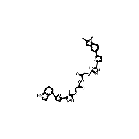 Cc1cc2cc(-c3ccc(-c4nnc(SCC(=O)OOC(=O)CSc5nnc(-c6ccc(-c7cccc8[nH]ccc78)o6)[nH]5)[nH]4)o3)ccc2n1C